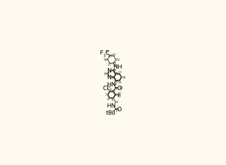 CC(C)(C)C(=O)NCc1ccc(Cl)c(C(=O)Nc2cccc3c(N[C@H]4CC[C@H](C(F)(F)F)CC4)ncnc23)c1F